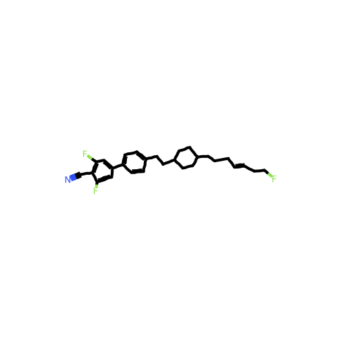 N#Cc1c(F)cc(-c2ccc(CCC3CCC(CCCC=CCCF)CC3)cc2)cc1F